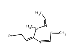 C=C/C=N\C(=C\CC(C)C)N(C)/N=C\C